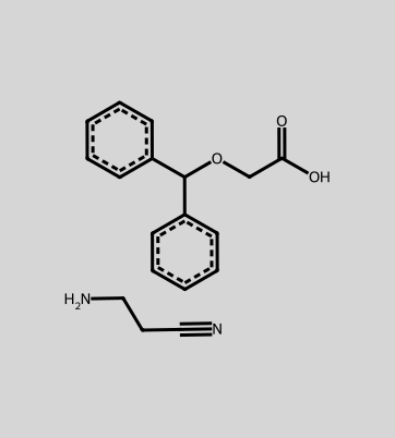 N#CCCN.O=C(O)COC(c1ccccc1)c1ccccc1